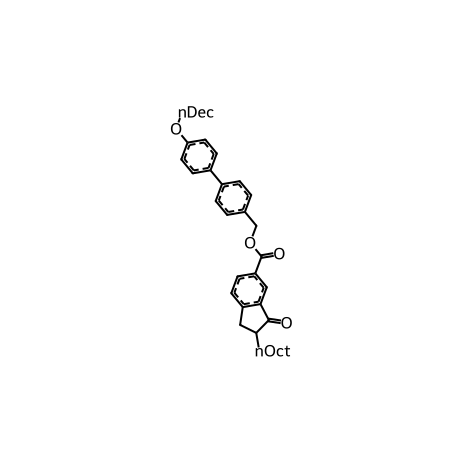 CCCCCCCCCCOc1ccc(-c2ccc(COC(=O)c3ccc4c(c3)C(=O)C(CCCCCCCC)C4)cc2)cc1